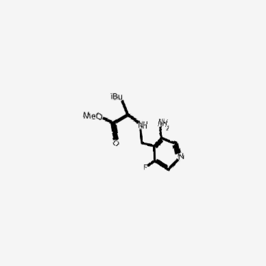 CCC(C)C(NCc1c(N)cncc1F)C(=O)OC